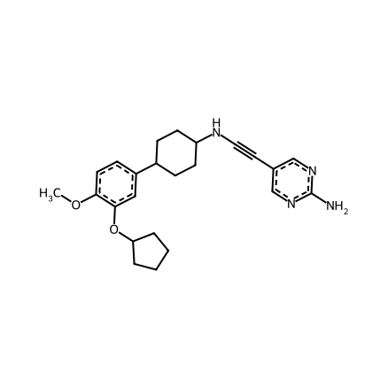 COc1ccc(C2CCC(NC#Cc3cnc(N)nc3)CC2)cc1OC1CCCC1